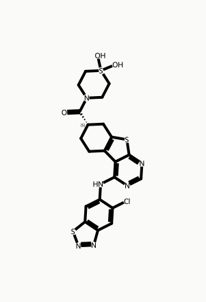 O=C([C@H]1CCc2c(sc3ncnc(Nc4cc5snnc5cc4Cl)c23)C1)N1CCS(O)(O)CC1